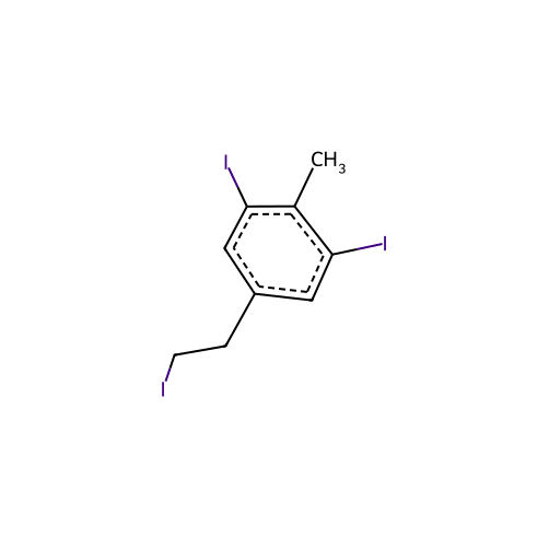 Cc1c(I)cc(CCI)cc1I